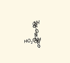 O=C(O)C(CCN1CCC(OCCc2ccc3c(n2)NCCC3)C1)NC(=O)C1CCCN1Cc1ccccc1